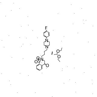 C=C.CCOC(C)OCC.O=C1CN(CCCCN2CCN(c3ccc(F)cc3)CC2)S(=O)(=O)c2ccccc21